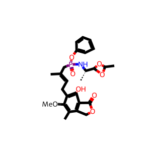 COc1c(C)c2c(c(O)c1C/C=C(\C)CP(=O)(N[C@@H](C)C1OC(C)O1)Oc1ccccc1)C(=O)OC2